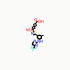 Cc1cc(Nc2nccc(C(F)(F)F)n2)cc(-c2cnc(C3(O)CC4(CC(C(=O)O)C4)C3)s2)c1